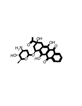 CC(=O)[C@]1(O)Cc2c(O)c3c(c(O)c2[C@@H](OC2C[C@H](N)[C@@H](O)[C@H](C)O2)C1)C(=O)c1ccccc1C3=O